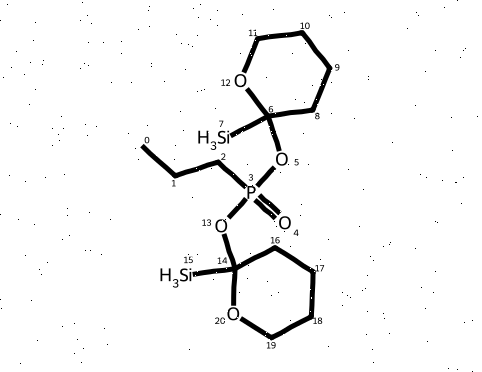 CCCP(=O)(OC1([SiH3])CCCCO1)OC1([SiH3])CCCCO1